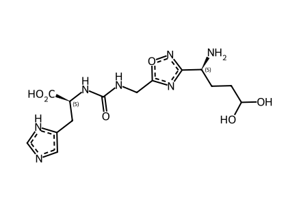 N[C@@H](CCC(O)O)c1noc(CNC(=O)N[C@@H](Cc2cnc[nH]2)C(=O)O)n1